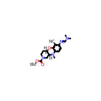 CN(C)/C=N/c1ccc2c(c1C#N)O[C@@H]1CCN(C(=O)OC(C)(C)C)C[C@H]1N2C